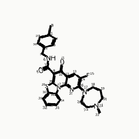 Cc1ccc(CNC(=O)c2c(=O)c3cc(F)c(N4CCCN(C)CC4)nc3n3c2sc2ccccc23)cc1